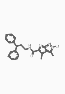 CCn1nc2oc(C(=O)NCCC(c3ccccc3)c3ccccc3)c(C)c2c1C